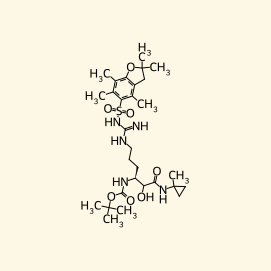 Cc1c(C)c(S(=O)(=O)NC(=N)NCCC[C@H](NC(=O)OC(C)(C)C)C(O)C(=O)NC2(C)CC2)c(C)c2c1OC(C)(C)C2